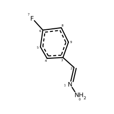 NN=Cc1ccc(F)cc1